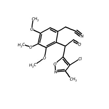 COc1cc(CC#N)c([C](C=O)c2onc(C)c2Cl)c(OC)c1OC